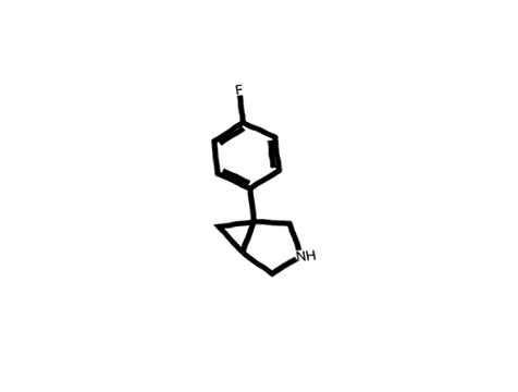 Fc1ccc(C23CNCC2C3)cc1